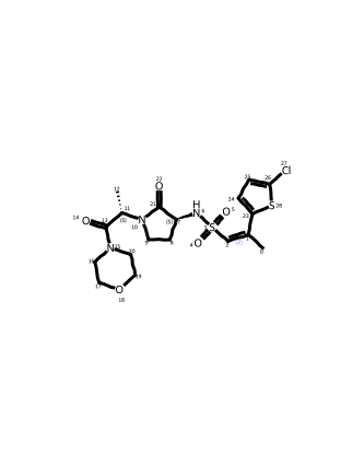 C/C(=C/S(=O)(=O)N[C@H]1CCN([C@@H](C)C(=O)N2CCOCC2)C1=O)c1ccc(Cl)s1